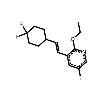 CCOc1ncc(I)cc1C=CC1CCC(F)(F)CC1